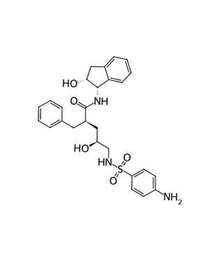 Nc1ccc(S(=O)(=O)NC[C@@H](O)C[C@@H](Cc2ccccc2)C(=O)N[C@H]2c3ccccc3C[C@H]2O)cc1